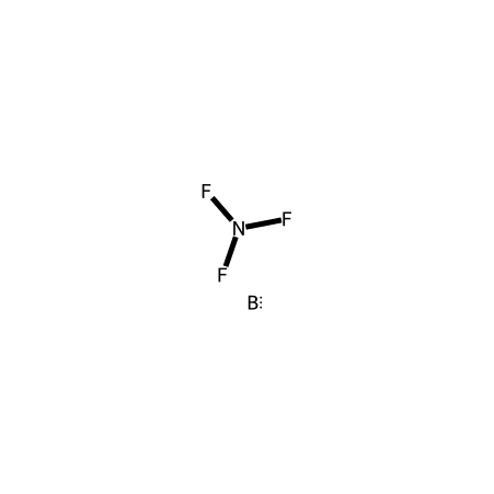 FN(F)F.[B]